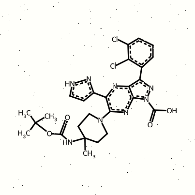 CC1(NC(=O)OC(C)(C)C)CCN(c2nc3c(nc2-c2cc[nH]n2)c(-c2cccc(Cl)c2Cl)nn3C(=O)O)CC1